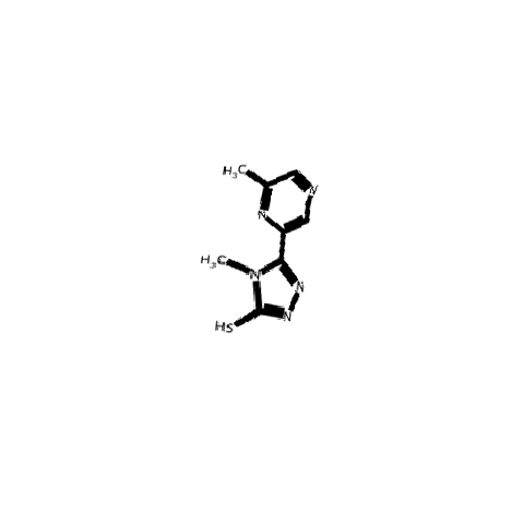 Cc1cncc(-c2nnc(S)n2C)n1